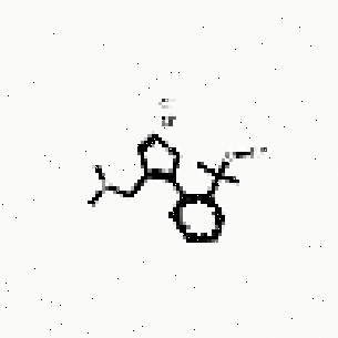 CN(C)CC1=C(c2ccccc2C(C)(C)[O][Ti+2])CC=C1.[Cl-].[Cl-]